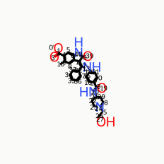 COC(=O)c1cc2c(cc1C)/C(=C(/Nc1ccc(C(=O)NC3CCN(CCO)CC3)cc1)c1ccccc1)C(=O)N2